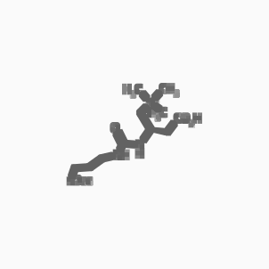 CCCCCCCCCCCCCNC(=O)N[C@H](CC(=O)O)C[N+](C)(C)C